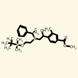 COC(=O)c1ccc(C(O)CN(CCO[Si](C)(C)C(C)(C)C)[C@H](C)c2ccccc2)c(C)c1